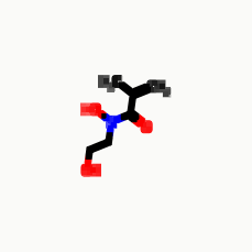 C=C(C)C(=O)N(O)CCO